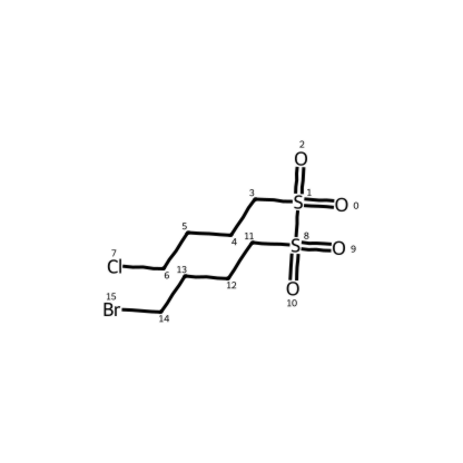 O=S(=O)(CCCCCl)S(=O)(=O)CCCCBr